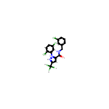 O=C(NCc1cccc(Cl)c1)c1cc(C(F)(F)F)nn1-c1cc(Cl)ccc1Cl